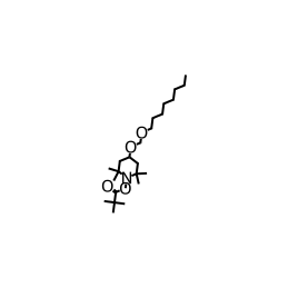 CCCCCCCCOCOC1CC(C)(C)N(OC(=O)C(C)(C)C)C(C)(C)C1